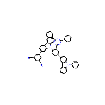 N#Cc1cc(C#N)cc(-c2ccc3c4ccccc4n(-c4ccc(-c5ccc6c(c5)c5ccccc5n6-c5ccccc5)cc4-c4nc(-c5ccccc5)nc(-c5ccccc5)n4)c3c2)c1